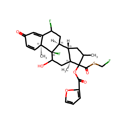 CC1C[C@H]2[C@@H]3CC(F)C4=CC(=O)C=C[C@]4(C)[C@@]3(F)C(O)C[C@]2(C)C1(OC(=O)c1ccco1)C(=O)SCF